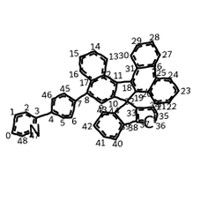 c1ccc(-c2ccc(-c3cc4c(c5ccccc35)-c3c(c5ccccc5c5ccccc35)C43c4ccccc4-c4ccccc43)cc2)nc1